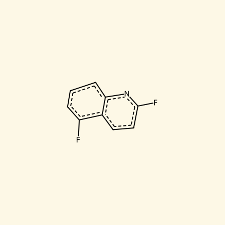 Fc1ccc2c(F)cccc2n1